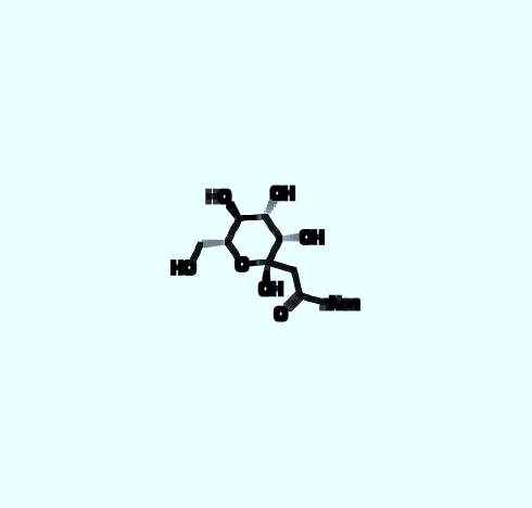 CCCCCCCCCC(=O)C[C@]1(O)O[C@H](CO)[C@@H](O)[C@H](O)[C@@H]1O